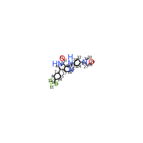 O=CC1NC=C(c2ccc(C(F)(F)F)cc2)c2ccnc(Nc3ccc(N4CCOCC4)cc3)c21